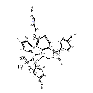 CC(C)(C)[Si](C)(C)O[C@@H](CCC1C(=O)N(c2ccc(F)cc2)[C@@H]1c1ccc(OC/C=C/CBr)cc1OCc1ccccc1)c1ccc(F)cc1